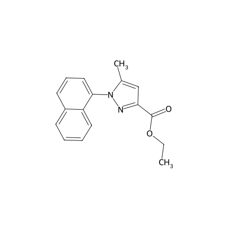 CCOC(=O)c1cc(C)n(-c2cccc3ccccc23)n1